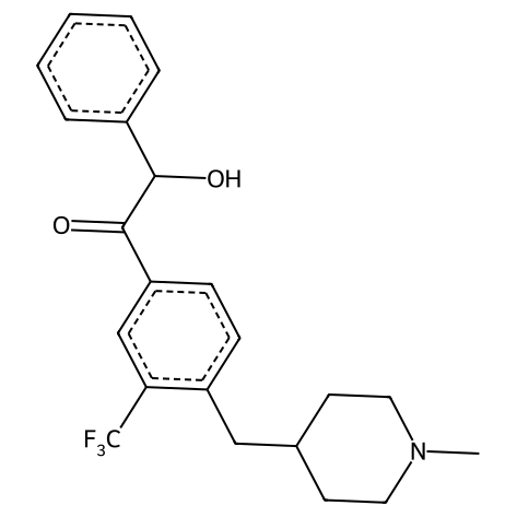 CN1CCC(Cc2ccc(C(=O)C(O)c3ccccc3)cc2C(F)(F)F)CC1